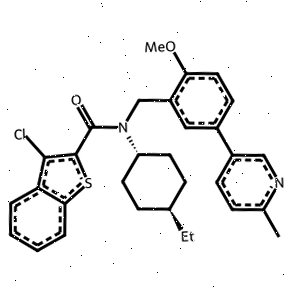 CC[C@H]1CC[C@H](N(Cc2cc(-c3ccc(C)nc3)ccc2OC)C(=O)c2sc3ccccc3c2Cl)CC1